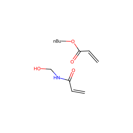 C=CC(=O)NCO.C=CC(=O)OCCCC